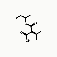 CCC(C)OC(=O)C(C(=O)O)=C(C)C